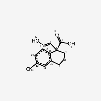 O=C(O)[C@@]1(/C=N/O)CCCc2cc(Cl)ccc21